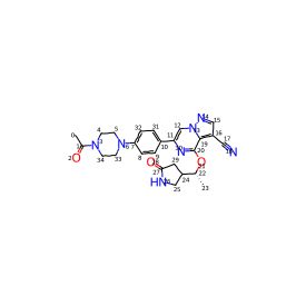 CC(=O)N1CCN(c2ccc(-c3cn4ncc(C#N)c4c(O[C@H](C)C4CNC(=O)C4)n3)cc2)CC1